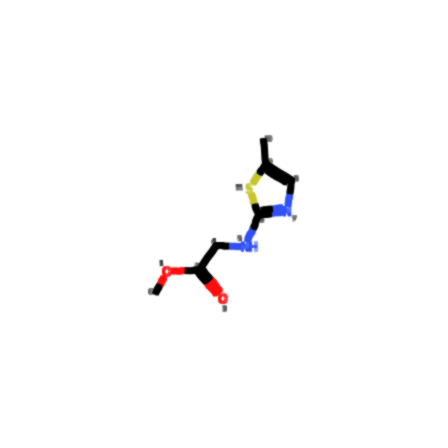 COC(=O)CNc1ncc(C)s1